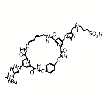 CCCC[N+](C)(C)Cc1cn(-c2cc3nc(c2)C(=O)NCc2ccc(cc2)CNC(=O)c2cc(-n4cc(C[N+](C)(C)CCCS(=O)(=O)O)nn4)cc(n2)C(=O)NC/C=C/C=C/CNC3=O)nn1